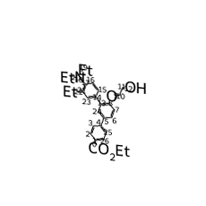 CCOC(=O)c1ccc(-c2ccc(OCCO)c(-c3ccc(N(CC)CC)c(CC)c3)c2)cc1